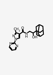 Cc1nn(-c2ncccn2)cc1C(=O)NCC(O)C12CC3CC(CC(C3)C1)C2